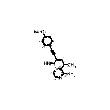 COc1ccc(C#C/C(C=N)=C/[C@@H](C)c2nccnc2N)cc1